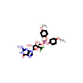 COc1ccc(OP(=S)(OC[C@@]2(C(F)F)O[C@@H](n3cnc4c(=O)[nH]c(N)nc43)[C@H](O)[C@H]2O)Oc2ccc(OC)cc2)cc1